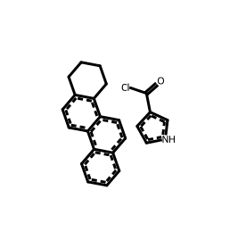 O=C(Cl)c1cc[nH]c1.c1ccc2c(c1)ccc1c3c(ccc12)CCCC3